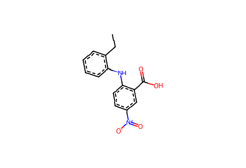 CCc1ccccc1Nc1ccc([N+](=O)[O-])cc1C(=O)O